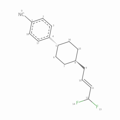 N#Cc1ccc([C@H]2CC[C@H](C/C=C/C(F)F)CC2)cc1